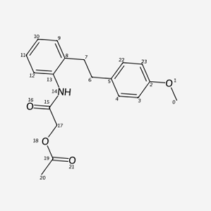 COc1ccc(CCc2ccccc2NC(=O)COC(C)=O)cc1